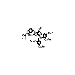 CCCCc1nc2c(N(Cc3ccc(OC)cc3OC)Cc3ccc(OC)cc3OC)nnc(OC(C)C)c2n1Cc1cccc(CNC(=O)OC(C)(C)C)c1